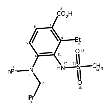 CCCN(CC(C)C)c1ccc(C(=O)O)c(CC)c1NS(C)(=O)=O